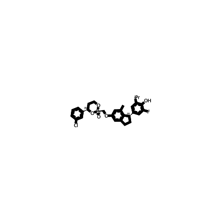 Cc1cc(OC[P@]2(=O)OCC[C@@H](c3cccc(Cl)c3)O2)cc2c1[C@H](c1cc(F)c(O)c(C(C)C)c1)CC2